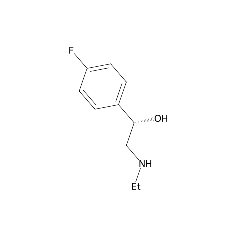 CCNC[C@@H](O)c1ccc(F)cc1